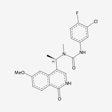 COc1ccc2c(=O)[nH]cc([C@@H](C)N(C)C(=O)Nc3ccc(F)c(Cl)c3)c2c1